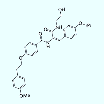 COc1ccc(CCOc2ccc(C(=O)NC(=Cc3ccc(OC(C)C)cc3)C(=O)NCCO)cc2)cc1